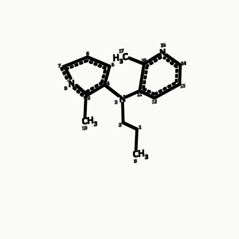 CCCN(c1cccnc1C)c1cccnc1C